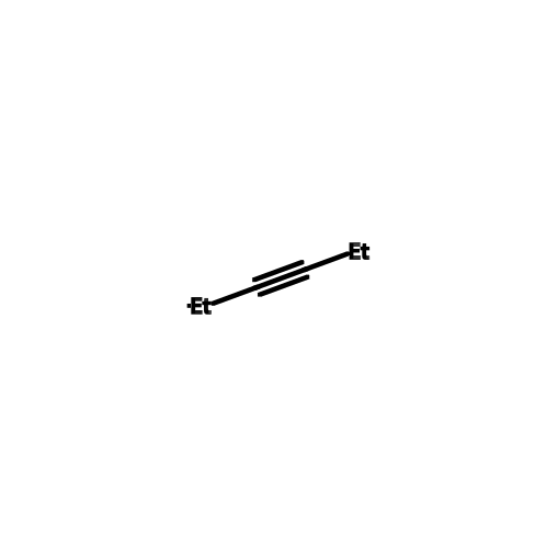 C[CH]C#CCC